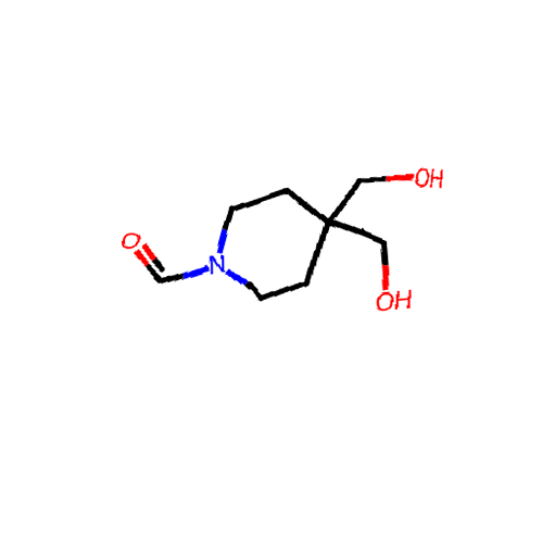 O=CN1CCC(CO)(CO)CC1